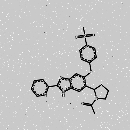 CC(=O)N1CCCC1c1cc2[nH]c(-c3ccccn3)nc2cc1Oc1ccc(S(C)(=O)=O)cc1